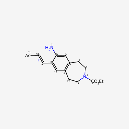 CCOC(=O)N1CCc2cc(N)c(/C=C/C(C)=O)cc2CC1